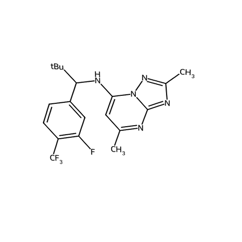 Cc1cc(NC(c2ccc(C(F)(F)F)c(F)c2)C(C)(C)C)n2nc(C)nc2n1